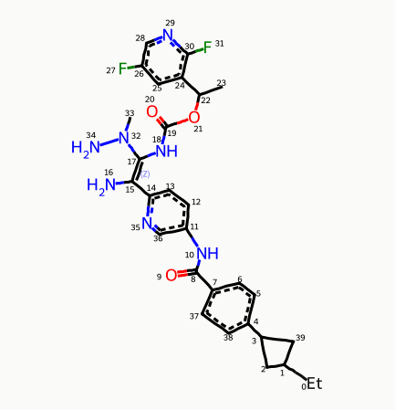 CCC1CC(c2ccc(C(=O)Nc3ccc(/C(N)=C(\NC(=O)OC(C)c4cc(F)cnc4F)N(C)N)nc3)cc2)C1